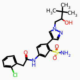 CC(C)(C)C(O)Cn1cc(-c2ccc(NC(=O)Cc3ccccc3Cl)cc2S(N)(=O)=O)cn1